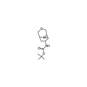 CC(C)(C)OC(=O)NC1CC2COCC(C1)N2